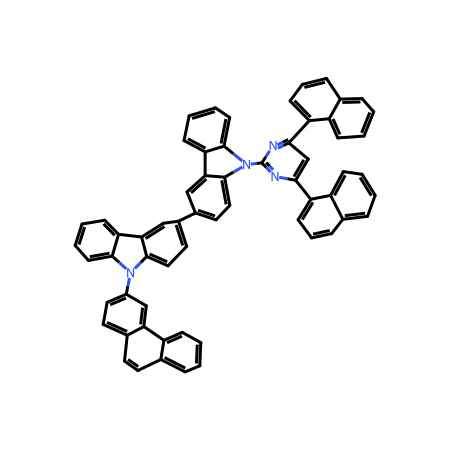 c1ccc2c(-c3cc(-c4cccc5ccccc45)nc(-n4c5ccccc5c5cc(-c6ccc7c(c6)c6ccccc6n7-c6ccc7ccc8ccccc8c7c6)ccc54)n3)cccc2c1